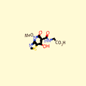 COn1c(=O)c(C(=O)NCC(=O)O)c(O)c2scnc21